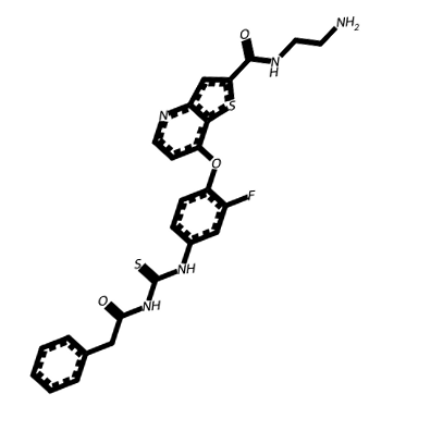 NCCNC(=O)c1cc2nccc(Oc3ccc(NC(=S)NC(=O)Cc4ccccc4)cc3F)c2s1